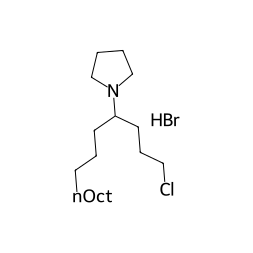 Br.CCCCCCCCCCCC(CCCCl)N1CCCC1